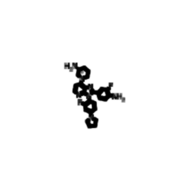 Nc1ccc(-c2nc3c(N4CCC[C@H](N)C4)ccnc3n2-c2ccc(N3CCCC3)cc2F)cc1F